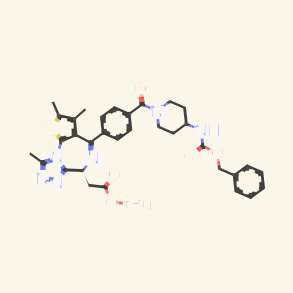 Cc1sc2c(c1C)C(c1ccc(C(=O)N3CCC(NC(=O)OCc4ccccc4)CC3)cc1)=N[C@@H](CC(=O)OC(C)(C)C)c1nnc(C)n1-2